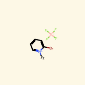 CC[n+]1ccccc1Br.F[B-](F)(F)F